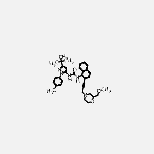 COCC1CN(CC#Cc2ccc3ccccc3c2NC(=O)Nc2cc(C(C)(C)C)nn2-c2ccc(C)cc2)CCO1